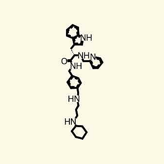 O=C(NCc1ccc(CNCCCNC2CCCCC2)cc1)[C@H](Cc1c[nH]c2ccccc12)NCc1ccccn1